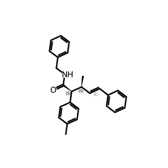 Cc1ccc([C@@H](C(=O)NCc2ccccc2)[C@@H](C)/C=C/c2ccccc2)cc1